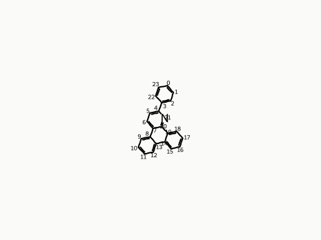 c1ccc(-c2ccc3c4ccccc4c4ccccc4c3n2)cc1